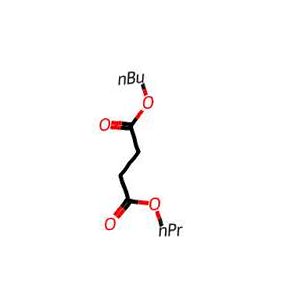 CCCCOC(=O)CCC(=O)OCCC